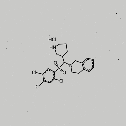 Cl.O=S(=O)(c1cc(Cl)c(Cl)cc1Cl)C(C1CCCNC1)N1CCc2ccccc2C1